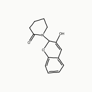 O=C1CCCCN1C1Oc2ccccc2C=C1O